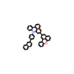 c1ccc(-c2ccccc2N(c2ccc(-c3ccc4ccccc4c3)cc2)c2cccc(-c3cc4c5c(cccc5c3)Oc3ccccc3-4)c2)cc1